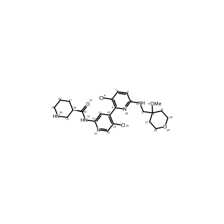 COC1(CNc2ccc(Cl)c(-c3cc(NC(=O)[C@@H]4CCCNC4)ncc3Cl)n2)CCOCC1